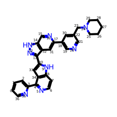 c1ccc(-c2nccc3[nH]c(-c4n[nH]c5cnc(-c6cncc(CN7CCCCC7)c6)cc45)cc23)nc1